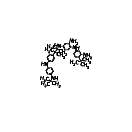 CC(C)(C)Nc1ccc(Nc2ccc(C(C)(C)C(C)(C)Nc3ccc(Nc4ccc(C(C)(C)C)c(N)c4)c(N)c3)cc2)cc1